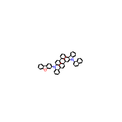 c1ccc(-c2ccc(N(c3ccc4c(c3)oc3ccccc34)c3ccccc3-c3ccc(-c4ccc5c6ccccc6n(-c6cccc7ccccc67)c5c4)cc3)cc2)cc1